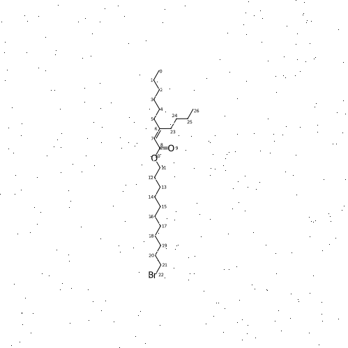 CCCCCC/C(=C/C(=O)OCCCCCCCCCCCBr)CCCC